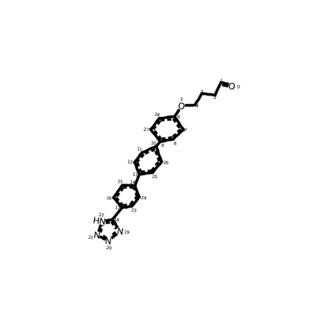 O=CCCCOc1ccc(-c2ccc(-c3ccc(-c4nnn[nH]4)cc3)cc2)cc1